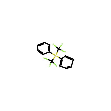 FC(F)(F)S(c1ccccc1)(c1ccccc1)C(F)(F)F